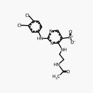 CC(=O)NCCNc1nc(Nc2ccc(Cl)c(Cl)c2)ncc1[N+](=O)[O-]